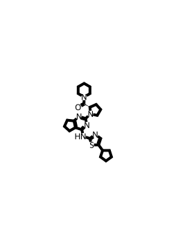 O=C([C@@H]1CCCN1c1nc2c(c(Nc3ncc(C4CCCC4)s3)n1)CCC2)N1CCCCC1